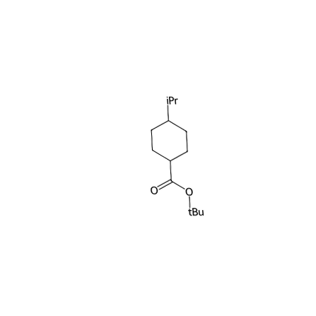 CC(C)C1CCC(C(=O)OC(C)(C)C)CC1